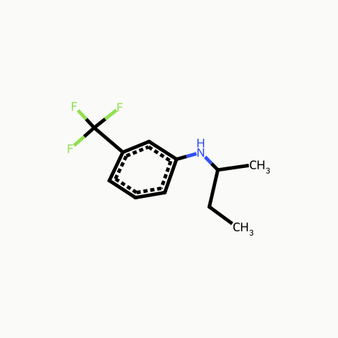 CCC(C)Nc1cccc(C(F)(F)F)c1